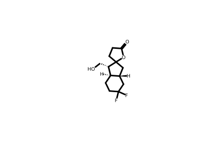 O=C1CCC2(C[C@@H]3CC(F)(F)CC[C@H]3[C@@H]2CO)O1